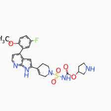 COc1ccc(F)cc1-c1ccnc2[nH]c(C3=CCN(S(=O)(=O)NC(=O)OC4CCNC4)CC3)cc12